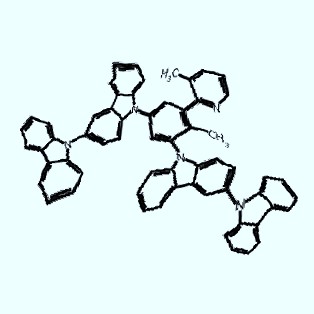 Cc1cccnc1-c1cc(-n2c3ccccc3c3cc(-n4c5ccccc5c5ccccc54)ccc32)cc(-n2c3ccccc3c3cc(-n4c5ccccc5c5ccccc54)ccc32)c1C